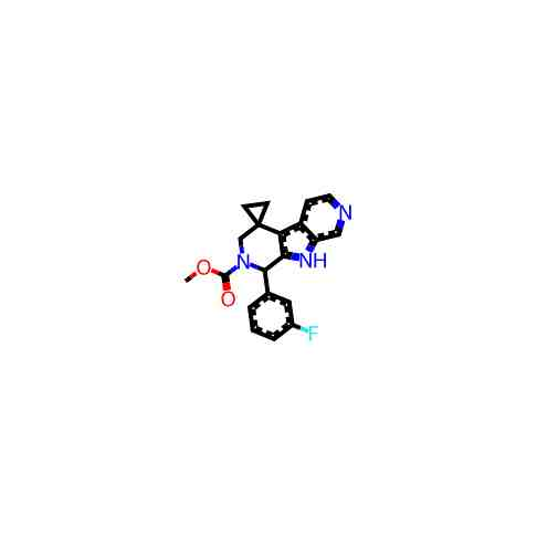 COC(=O)N1CC2(CC2)c2c([nH]c3cnccc23)C1c1cccc(F)c1